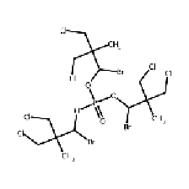 CC(CCl)(CCl)C(Br)OP(=O)(OC(Br)C(C)(CCl)CCl)OC(Br)C(C)(CCl)CCl